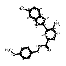 COc1ccc(CNC(=O)c2cnc(N)c(-c3nc4ccc(C)cc4[nH]3)n2)cc1